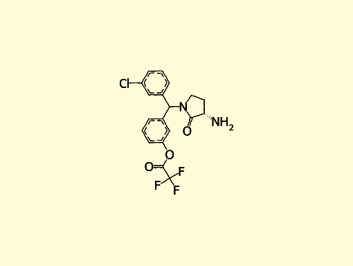 N[C@H]1CCN(C(c2cccc(Cl)c2)c2cccc(OC(=O)C(F)(F)F)c2)C1=O